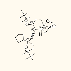 CO[C@@]12CC[C@H](O[Si](C)(C)C(C)(C)C)[C@@H](C#C[C@@](C)(O[Si](C)(C)C(C)(C)C)C3CCCC3)[C@@H]1CC2=O